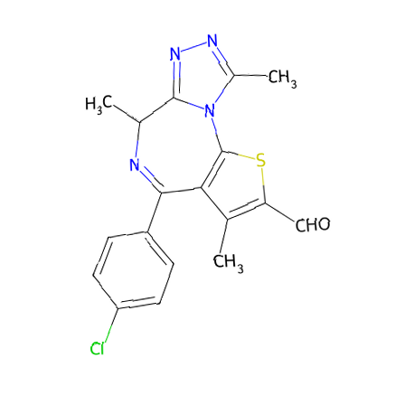 Cc1c(C=O)sc2c1C(c1ccc(Cl)cc1)=NC(C)c1nnc(C)n1-2